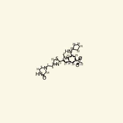 Cn1c(C2=N[C@@H](CCN3CCNC(=O)C3)CS2)cc2cc(S(C)(=O)=O)cc(NC3CCCC3)c21